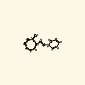 O=c1nncccc1N=NC1C=CC=CO1